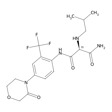 CC(C)CN[C@@H](C(N)=O)C(=O)Nc1ccc(N2CCOCC2=O)cc1C(F)(F)F